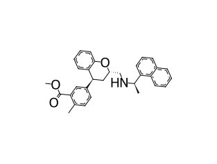 COC(=O)c1cc([C@@H]2C[C@@H](CN[C@H](C)c3cccc4ccccc34)Oc3ccccc32)ccc1C